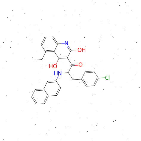 CCc1cccc2nc(O)c(C(=O)C(Cc3ccc(Cl)cc3)Nc3ccc4ccccc4c3)c(O)c12